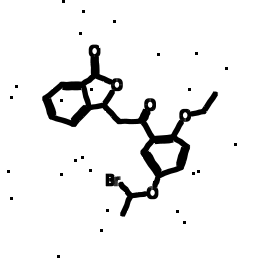 CCOc1ccc(OC(C)Br)cc1C(=O)CC1OC(=O)c2ccccc21